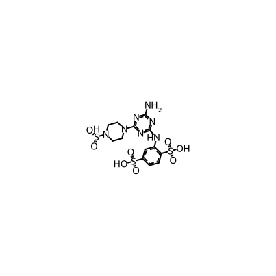 Nc1nc(Nc2cc(S(=O)(=O)O)ccc2S(=O)(=O)O)nc(N2CCN([SH](=O)=O)CC2)n1